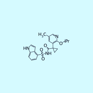 Cc1cnc(OC(C)C)c(C2(C(=O)NS(=O)(=O)c3cccc4[nH]ccc34)CC2)c1